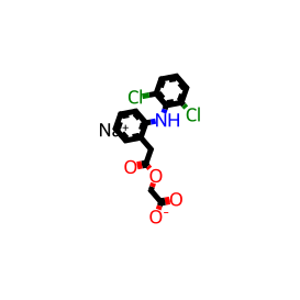 O=C([O-])COC(=O)Cc1ccccc1Nc1c(Cl)cccc1Cl.[Na+]